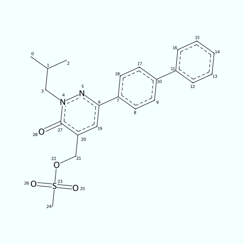 CC(C)Cn1nc(-c2ccc(-c3ccccc3)cc2)cc(COS(C)(=O)=O)c1=O